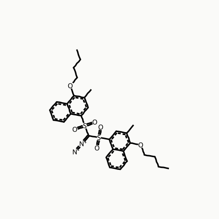 CCCCOc1c(C)cc(S(=O)(=O)C(=[N+]=[N-])S(=O)(=O)c2cc(C)c(OCCCC)c3ccccc23)c2ccccc12